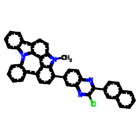 Cn1c2ccc3c4ccccc4n4c5ccccc5c5ccc(-c6ccc7nc(-c8ccc9ccccc9c8)c(Cl)nc7c6)c1c5c2c34